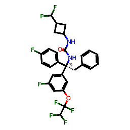 O=C(NC1CC(C(F)F)C1)N[C@](Cc1ccccc1)(c1ccc(F)cc1)c1cc(F)cc(OC(F)(F)C(F)F)c1